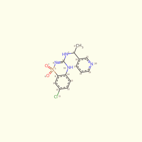 CC(NC1=NS(=O)(=O)c2cc(Cl)ccc2N1)c1cccnc1